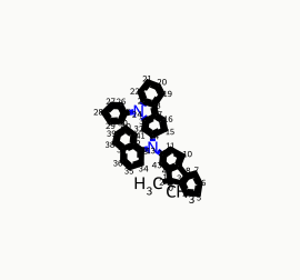 CC1(C)c2ccccc2-c2ccc(N(c3ccc4c5ccccc5n(-c5ccccc5)c4c3)c3cccc4ccccc34)cc21